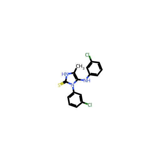 Cc1[nH]c(=S)n(-c2cccc(Cl)c2)c1Nc1cccc(Cl)c1